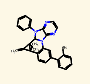 C=C1C2(C)c3ccc(-c4ccccc4C(C)(C)C)cc3N3c4nccnc4N(c4ccccc4)C3C12C